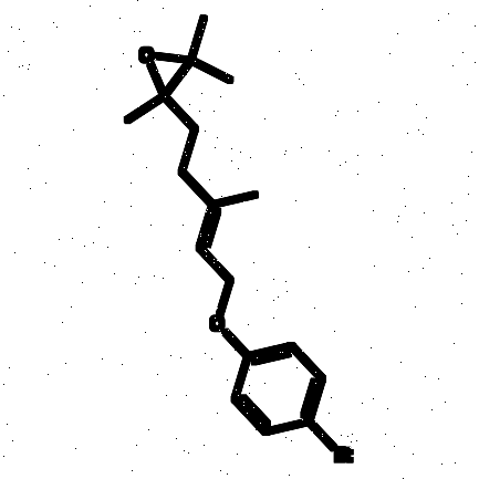 CCc1ccc(OC/C=C(\C)CCC2(C)OC2(C)C)cc1